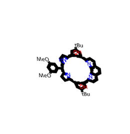 COc1cc(OC)cc(-c2c3nc(c4cc(C(C)(C)C)cc(c4O)c4ccc5ccc6ccc(nc6c5n4)c4cc(C(C)(C)C)cc(c4O)c4ccc2[nH]4)C=C3)c1